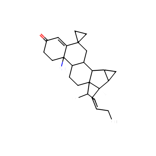 CC/C=C\[C@]1(C)C2CC2C2C3CC4(CC4)C4=CC(=O)CCC4(N)C3CCC21C(C)C